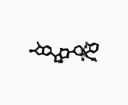 CN1C(=O)Cc2cc(-c3n[nH]c4nc(N5CC[C@@H]6[C@H](C5)[C@@]6(CN)c5ccccc5F)cnc34)ccc21